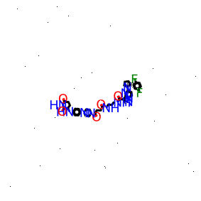 O=C(CCC(=O)N1CCN(c2ccc(NC3CCC(=O)NC3=O)cc2)CC1)NCCCNC(=O)c1cnn2ccc(N3CCC[C@@H]3c3cc(F)ccc3F)nc12